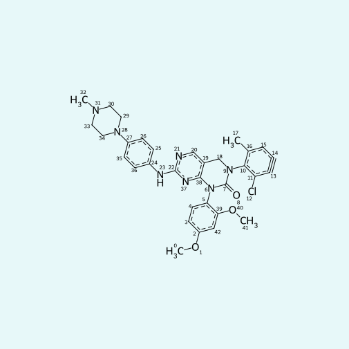 COc1ccc(N2C(=O)N(c3c(Cl)c#ccc3C)Cc3cnc(Nc4ccc(N5CCN(C)CC5)cc4)nc32)c(OC)c1